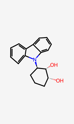 O[C@@H]1[C@H](O)CCC[C@H]1n1c2ccccc2c2ccccc21